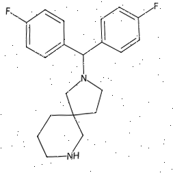 Fc1ccc(C(c2ccc(F)cc2)N2CCC3(CCCNC3)C2)cc1